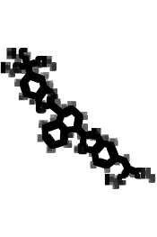 CC(C)Cc1ccc2oc(-c3ccc(-c4nc5cc(C(C)(C)C)ccc5o4)c4ccccc34)nc2c1